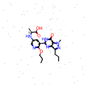 CCCOc1ncc(N[C@@H](C)C(=O)O)cc1-c1nc2c(CCC)nn(C)c2c(=O)[nH]1